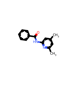 Cc1cc(C)nc(NC(=O)c2ccccc2)c1